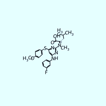 COc1ccc(Sc2cc(Nc3cccc(F)c3)nc(N(C)[C@@H](CC(C)C)C(=O)O)n2)cc1